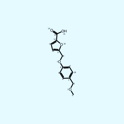 COCc1ccc(OCc2ccc(C(=O)O)o2)cc1